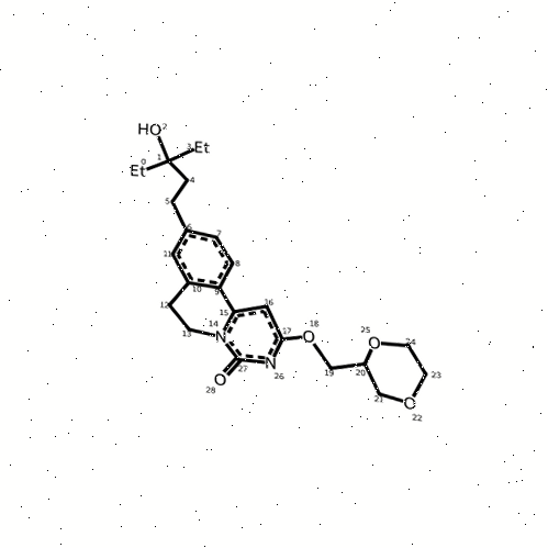 CCC(O)(CC)CCc1ccc2c(c1)CCn1c-2cc(OCC2COCCO2)nc1=O